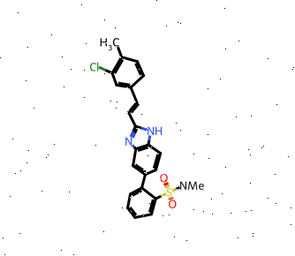 CNS(=O)(=O)c1ccccc1-c1ccc2[nH]c(/C=C/c3ccc(C)c(Cl)c3)nc2c1